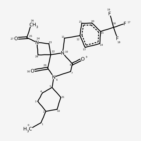 CCC1CCC(N2CC(=O)N(Cc3ccc(C(F)(F)F)cc3)C3(CN(C(C)=O)C3)C2=O)CC1